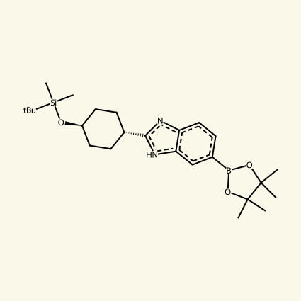 CC1(C)OB(c2ccc3nc([C@H]4CC[C@H](O[Si](C)(C)C(C)(C)C)CC4)[nH]c3c2)OC1(C)C